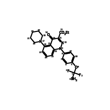 BC(F)(F)Oc1ccc(-n2nc(C(=O)OCC)c(=O)c3c(N4CCCCC4)cccc32)cc1